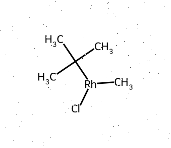 [CH3][Rh]([Cl])[C](C)(C)C